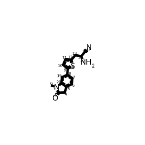 CN1C(=O)Cc2ccc(-c3ccc(CC(N)C#N)s3)cc21